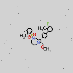 COC[C@@H]1[C@@H](c2ccc(-c3cccc(F)c3C)cc2)C2CN(S(=O)(=O)c3ccccc3C)CCCCN21